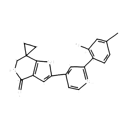 Cc1ccc(-c2cc(-c3cc4c([nH]3)C3(CC3)CNC4=O)ccn2)c(F)c1